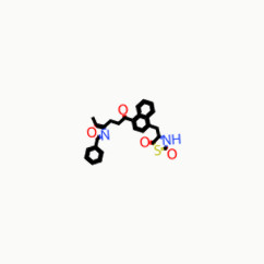 Cc1oc(-c2ccccc2)nc1CCC(=O)c1ccc(CC2NC(=O)SC2=O)c2ccccc12